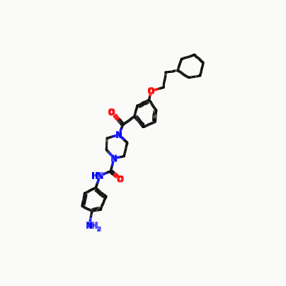 Nc1ccc(NC(=O)N2CCN(C(=O)c3cccc(OCCC4CCCCC4)c3)CC2)cc1